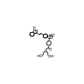 Cl.Cl.O=C(CN(CCO)CCO)N1CCN(C(=O)c2ccc(C=Cc3n[nH]c4ccccc34)cc2)CC1